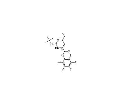 CCCC[C@H](NC(=O)OC(C)(C)C)C(=O)Oc1c(F)c(F)c(F)c(F)c1F